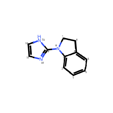 c1ccc2c(c1)CCN2c1ncc[nH]1